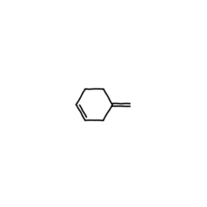 C=C1CC=CCC1